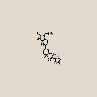 Cc1c[nH]c(C(=O)NC2CC(c3ccc4c(n3)n(C)c(=O)n4CC(C)(C)C)CCC2(C)C)n1